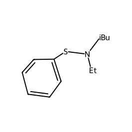 CCC(C)N(CC)Sc1ccccc1